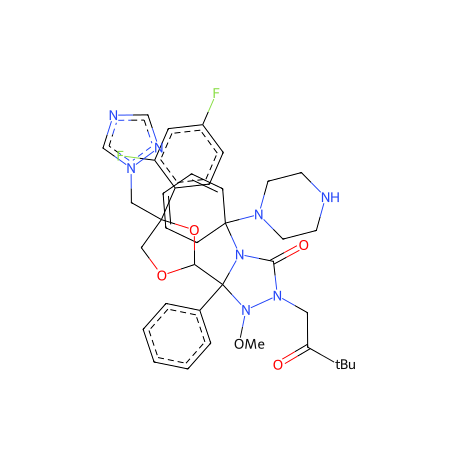 CON1N(CC(=O)C(C)(C)C)C(=O)N(C2(N3CCNCC3)C=CC=CC2)C1(c1ccccc1)C1OCC(Cn2cncn2)(c2ccc(F)cc2F)O1